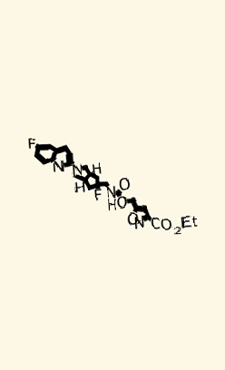 CCOC(=O)c1cc(COC(=O)NCC2(F)C[C@H]3CN(c4ccc5cc(F)ccc5n4)C[C@H]3C2)on1